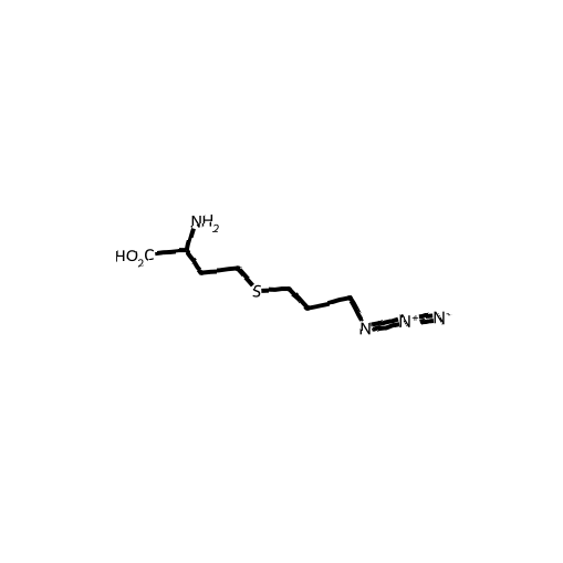 [N-]=[N+]=NCCCSCCC(N)C(=O)O